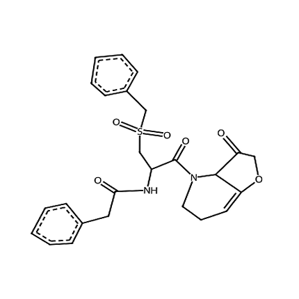 O=C(Cc1ccccc1)NC(CS(=O)(=O)Cc1ccccc1)C(=O)N1CCC=C2OCC(=O)C21